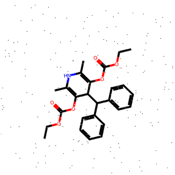 CCOC(=O)OC1=C(C)NC(C)=C(OC(=O)OCC)C1C(c1ccccc1)c1ccccc1